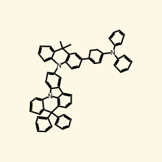 CC1(C)c2ccccc2N(c2ccc3c(c2)c2cccc4c2n3-c2ccccc2C4(c2ccccc2)c2ccccc2)c2ccc(C3=CC=C(N(c4ccccc4)c4ccccc4)CC3)cc21